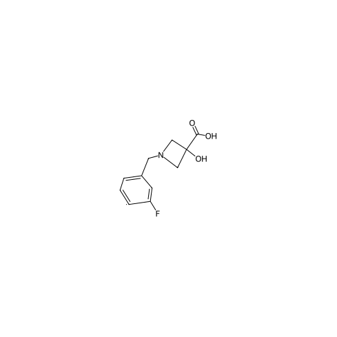 O=C(O)C1(O)CN(Cc2cc[c]c(F)c2)C1